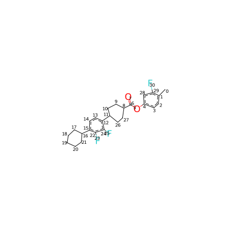 Cc1ccc(OC(=O)C2CCC(c3ccc(C4CCCCC4)c(F)c3F)CC2)cc1F